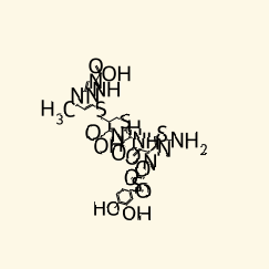 CC1=NC2=CN(C(=O)O)NN2C(SCC2=C(C(=O)O)N3C(=O)[C@@H](NC(=O)/C(=N\OCS(=O)(=O)c4ccc(O)c(O)c4)c4csc(N)n4)[C@H]3SC2)=C1